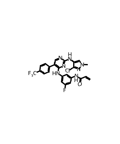 C=CC(=O)Nc1cc(F)cc(Nc2nc(Nc3cn(C)nc3Cl)ncc2-c2ccc(C(F)(F)F)cc2)c1